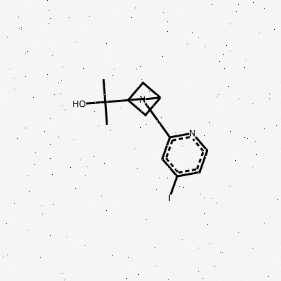 CC(C)(O)C12CC(C1)N(c1cc(I)ccn1)C2